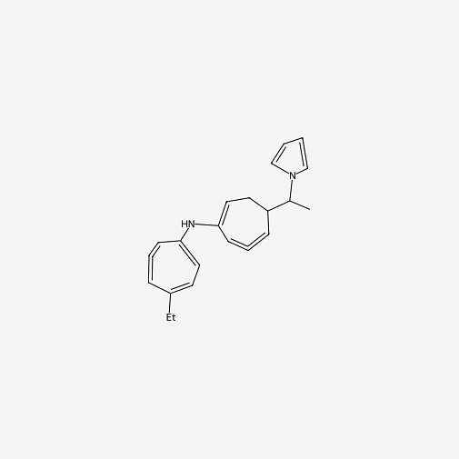 CCC1=CC=C(NC2=CCC(C(C)n3cccc3)C=C=C2)C=C=C1